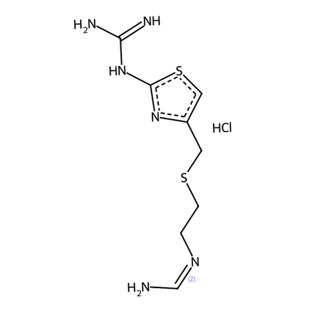 Cl.N=C(N)Nc1nc(CSCC/N=C\N)cs1